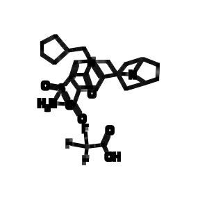 CS(=O)(=O)CC(=O)N(CCN1C2CCC1CC(c1cccc(C(N)=O)c1)C2)CC1CCCC1.O=C(O)C(F)(F)F